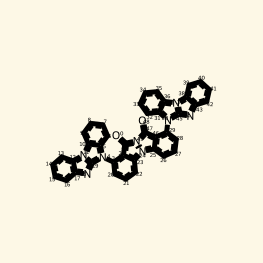 O=c1c2c(-n3c4ccccc4n4c5ccccc5nc34)cccc2n2c3cccc(-n4c5ccccc5n5c6ccccc6nc45)c3c(=O)n12